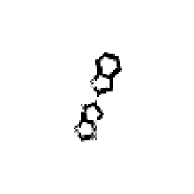 C1=NN2C[C@@H](c3cc4ccccc4s3)N=C2S1